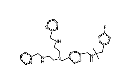 CC(C)(Cc1ccc(F)cc1)NCc1ccc(CN(CCNCc2ccccn2)CCNCc2ccccn2)cc1